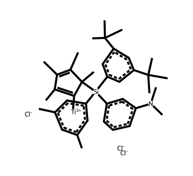 CC1=C(C)C(C)([Si](c2cc(C)cc(C)c2)(c2cccc(N(C)C)c2)c2cc(C(C)(C)C)cc(C(C)(C)C)c2)[C]([Ti+3])=C1C.[Cl-].[Cl-].[Cl-]